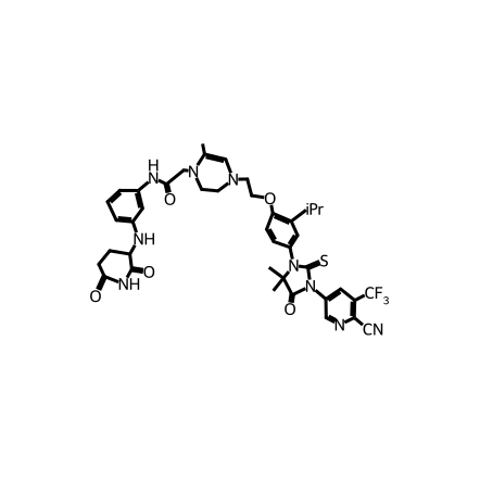 CC1=CN(CCOc2ccc(N3C(=S)N(c4cnc(C#N)c(C(F)(F)F)c4)C(=O)C3(C)C)cc2C(C)C)CCN1CC(=O)Nc1cccc(NC2CCC(=O)NC2=O)c1